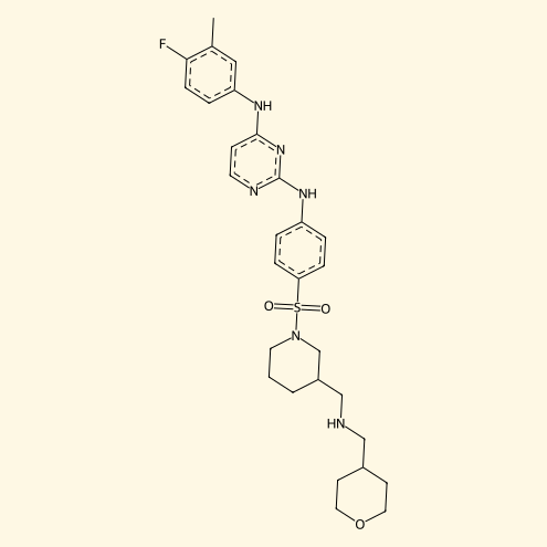 Cc1cc(Nc2ccnc(Nc3ccc(S(=O)(=O)N4CCCC(CNCC5CCOCC5)C4)cc3)n2)ccc1F